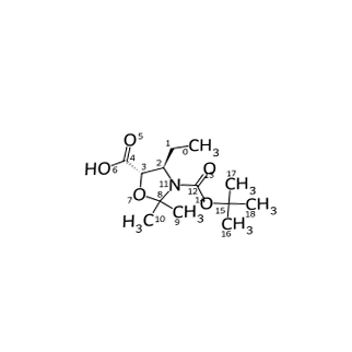 CC[C@@H]1[C@@H](C(=O)O)OC(C)(C)N1C(=O)OC(C)(C)C